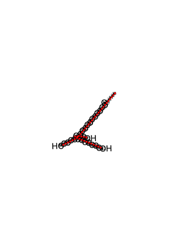 CCCCCCCCCCCC(=O)OCCOCCOCCOCCOCCOCCOCCOCCOCCOCCOCC(OCCOCCO)C1OCC(OCCOCCOCCOCCO)C1OCCOCCOCCOCCOCCOCCOCCO